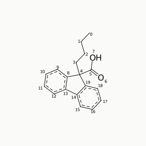 CCCCC1(C(=O)O)c2ccccc2-c2ccccc21